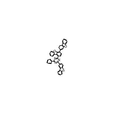 C1=C(c2ccc(-c3nc(-c4ccccc4)nc(-c4ccc5sc6ccccc6c5c4)n3)c3c2oc2ccccc23)CCc2c1oc1ccccc21